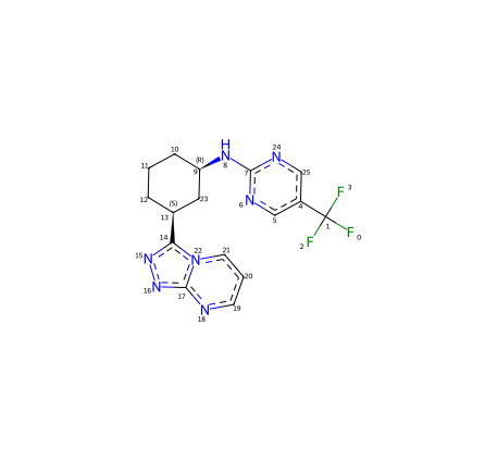 FC(F)(F)c1cnc(N[C@@H]2CCC[C@H](c3nnc4ncccn34)C2)nc1